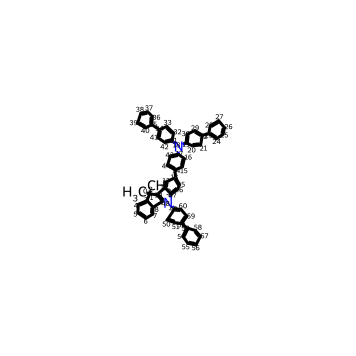 CC1(C)c2ccccc2-c2c1c1cc(-c3ccc(N(c4ccc(-c5ccccc5)cc4)c4ccc(-c5ccccc5)cc4)cc3)ccc1n2-c1ccc(-c2ccccc2)cc1